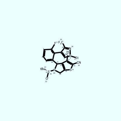 CCn1cc(-c2c(F)cccc2C2c3c(sc(C#N)c3C)CN2[S@+]([O-])C(C)(C)C)c(C(F)(F)F)n1